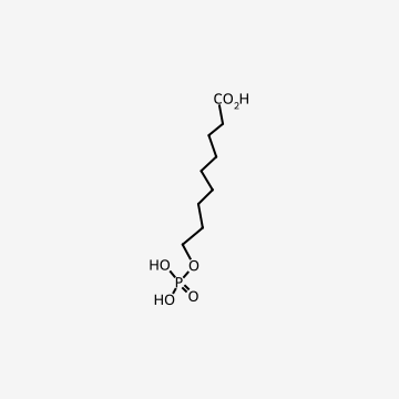 O=C(O)CCCCCCCCOP(=O)(O)O